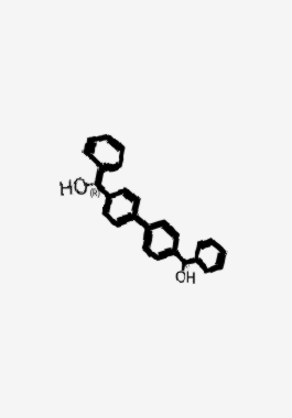 O[C@H](c1ccccc1)c1ccc(-c2ccc([C@H](O)c3ccccc3)cc2)cc1